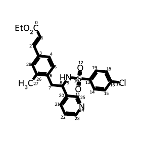 CCOC(=O)/C=C/c1ccc(CC(NS(=O)(=O)c2ccc(Cl)cc2)c2cccnc2)c(C)c1